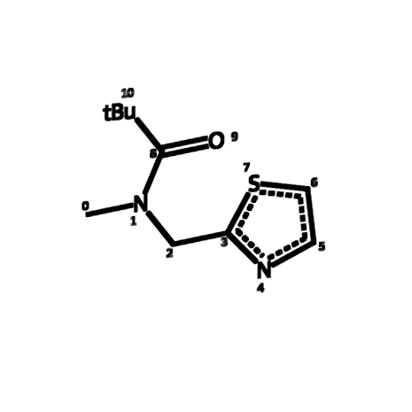 CN(Cc1nccs1)C(=O)C(C)(C)C